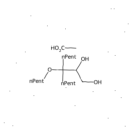 CC(=O)O.CCCCCOC(CCCCC)(CCCCC)C(O)CO